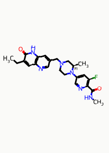 CCc1cc2ncc(CN3CCN(c4cnc(C(=O)NC)c(F)c4)[C@H](C)C3)cc2[nH]c1=O